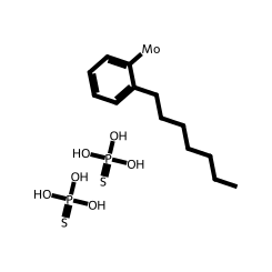 CCCCCCCc1cccc[c]1[Mo].OP(O)(O)=S.OP(O)(O)=S